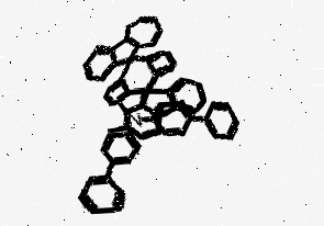 CC1C=CC2c3ccccc3C3(c4ccccc4C4(C5=C(CC=CC=C5)c5ccccc54)c4cccc(N(c5ccc(-c6ccccc6)cc5)c5ccc(-c6ccccc6)cc5)c43)C2C1